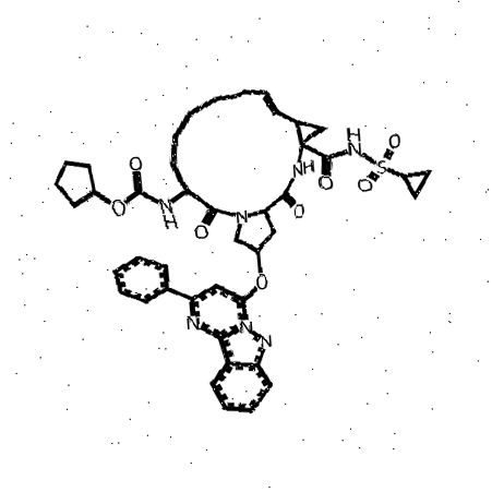 O=C(NC1CCCCC/C=C/C2CC2(C(=O)NS(=O)(=O)C2CC2)NC(=O)C2CC(Oc3cc(-c4ccccc4)nc4c5ccccc5nn34)CN2C1=O)OC1CCCC1